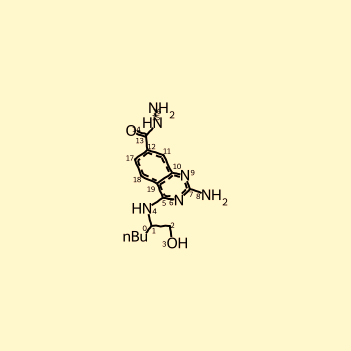 CCCCC(CO)Nc1nc(N)nc2cc(C(=O)NN)ccc12